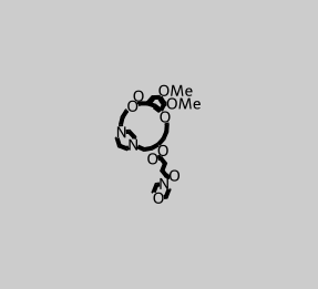 COc1cc2cc(c1OC)OCCCC(OC(=O)CCC(=O)N1CCOCC1)CCN1CCCN(CCCOC2=O)CC1